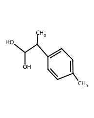 Cc1ccc(C(C)C(O)O)cc1